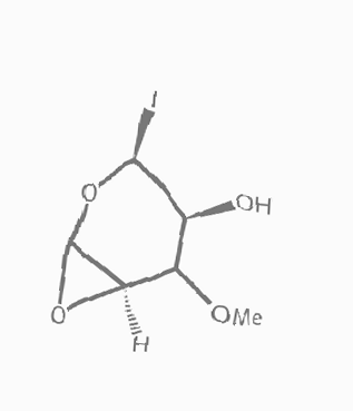 COC1[C@H]2OC2O[C@@H](I)[C@H]1O